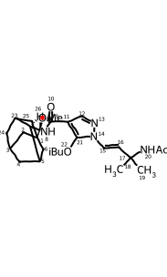 CO[C@]12CC3CC(C1)[C@H](NC(=O)c1cnn(/C=C/C(C)(C)NC(C)=O)c1OCC(C)C)C(C3)C2